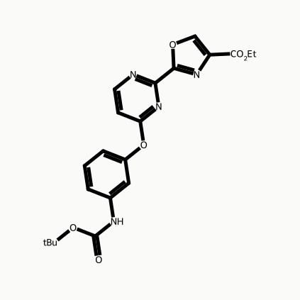 CCOC(=O)c1coc(-c2nccc(Oc3cccc(NC(=O)OC(C)(C)C)c3)n2)n1